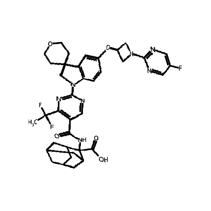 CC(F)(F)c1nc(N2CC3(CCOCC3)c3cc(OC4CN(c5ncc(F)cn5)C4)ccc32)ncc1C(=O)NC1(C(=O)O)C2CC3CC(C2)CC1C3